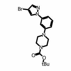 CC(C)(C)OC(=O)N1CCN(c2cccc(-n3cc(Br)cn3)c2)CC1